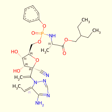 C=C(N1N=CN=C(N)/C1=C/C)[C@]1(C#N)O[C@H](COP(=O)(N[C@@H](C)C(=O)OCC(CC)CC)Oc2ccccc2)[C@@H](O)[C@H]1O